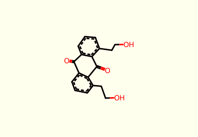 O=C1c2cccc(CCO)c2C(=O)c2c(CCO)cccc21